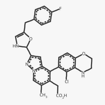 Cc1cn2nc(C3NC=C(Cc4ccc(F)cc4)O3)cc2c(-c2ccc3c(c2Cl)NCCO3)c1CC(=O)O